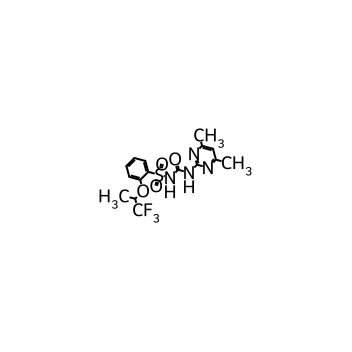 Cc1cc(C)nc(NC(=O)NS(=O)(=O)c2ccccc2OC(C)C(F)(F)F)n1